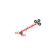 Oc1cc(O)cc(OCCOCCOCCOCCOCCOC(c2ccccc2)(c2ccccc2)c2ccccc2)c1